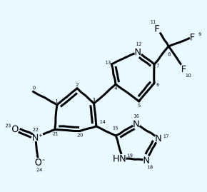 Cc1cc(-c2ccc(C(F)(F)F)nc2)c(-c2nnn[nH]2)cc1[N+](=O)[O-]